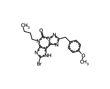 CCCCn1c(=O)n2nc(Cc3ccc(OC)cc3)nc2c2[nH]c(Br)nc21